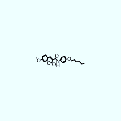 CCCCCCOc1ccc(NC(=O)c2cc3ccc(OC)cc3oc2=O)cc1